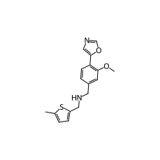 COc1cc(CNCc2ccc(C)s2)ccc1-c1cnco1